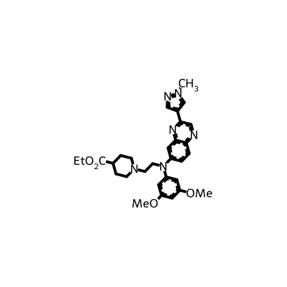 CCOC(=O)C1CCN(CCN(c2cc(OC)cc(OC)c2)c2ccc3ncc(-c4cnn(C)c4)nc3c2)CC1